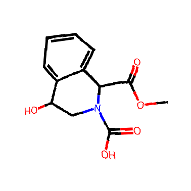 COC(=O)C1c2ccccc2C(O)CN1C(=O)O